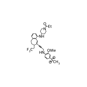 CCC(=O)N1CCC(Nc2cccc3c2C=C(C#CCNc2ccc(S(C)(=O)=O)cc2OC)C(CC(F)(F)F)CC3)CC1